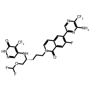 Nc1nc(-c2cc3ccn(CCC[C@H](COC(F)F)Nc4cn[nH]c(=O)c4C(F)(F)F)c(=O)c3cc2F)cnc1C(F)(F)F